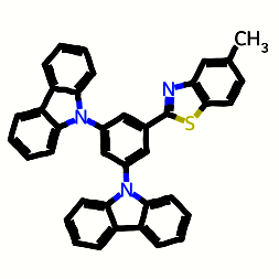 Cc1ccc2sc(-c3cc(-n4c5ccccc5c5ccccc54)cc(-n4c5ccccc5c5ccccc54)c3)nc2c1